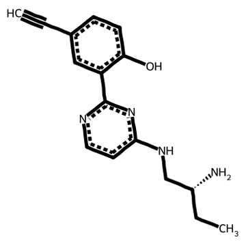 C#Cc1ccc(O)c(-c2nccc(NC[C@H](N)CC)n2)c1